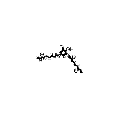 C=CC(=O)CCCCC(=O)CSc1cc(SCCCCCOC(=O)C=C)cc(C)c1O